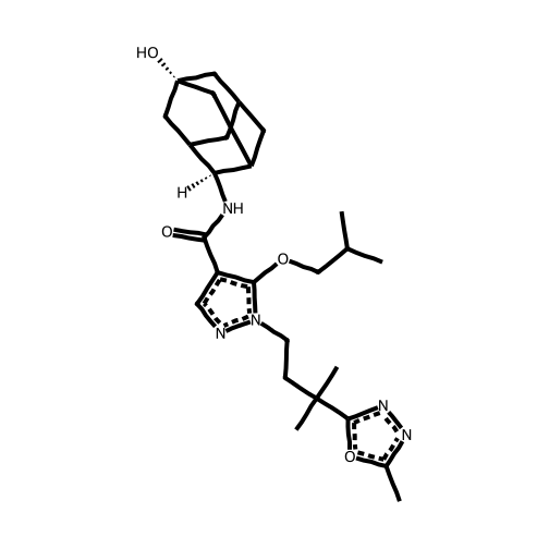 Cc1nnc(C(C)(C)CCn2ncc(C(=O)N[C@H]3C4CC5CC3C[C@](O)(C5)C4)c2OCC(C)C)o1